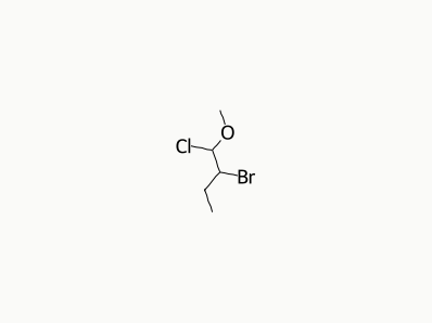 CCC(Br)C(Cl)OC